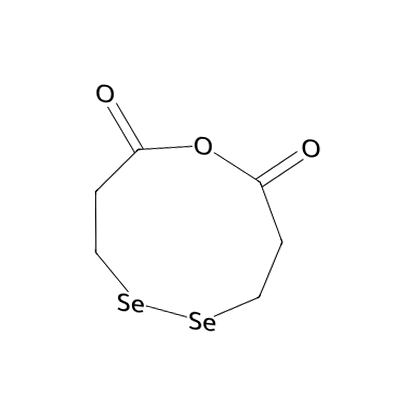 O=C1CC[Se][Se]CCC(=O)O1